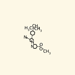 CCOC(=O)c1ccnc(-n2cc(C#N)c(-c3ccc(C(C)(C)C)cc3)c2)c1